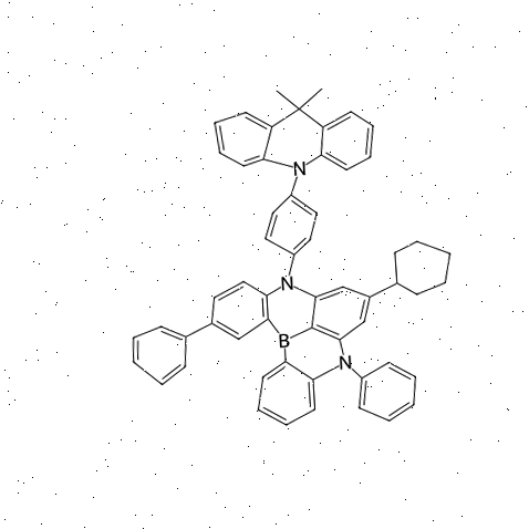 CC1(C)c2ccccc2N(c2ccc(N3c4ccc(-c5ccccc5)cc4B4c5ccccc5N(c5ccccc5)c5cc(C6CCCCC6)cc3c54)cc2)c2ccccc21